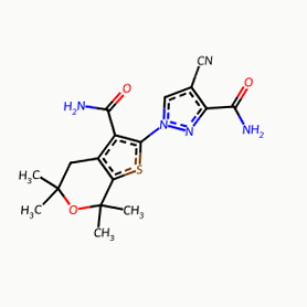 CC1(C)Cc2c(sc(-n3cc(C#N)c(C(N)=O)n3)c2C(N)=O)C(C)(C)O1